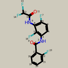 O=C(Nc1ccc(F)c(NC(=O)C(F)F)c1F)c1ccccc1F